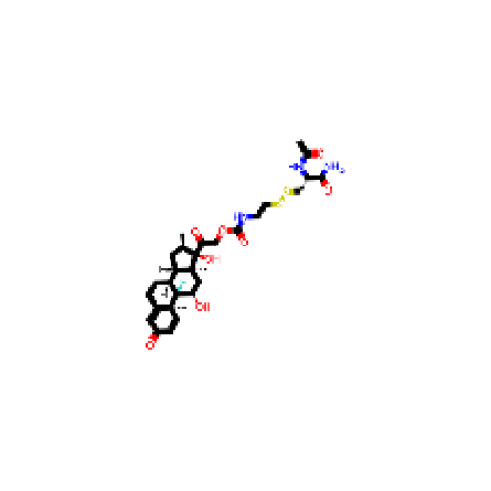 CC(=O)N[C@@H](CSSCCNC(=O)OCC(=O)[C@@]1(O)[C@H](C)C[C@H]2[C@@H]3CCC4=CC(=O)C=C[C@]4(C)[C@@]3(F)[C@@H](O)C[C@@]21C)C(N)=O